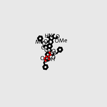 COC(=O)C1=C(C)NC(C)=C(C(=O)OC)C1Cc1cc(C(=O)OCc2ccccc2)c(Oc2cc(C(=O)OCc3ccccc3)c(O)c(C(=O)OCc3ccccc3)c2)c(C(=O)OCc2ccccc2)c1